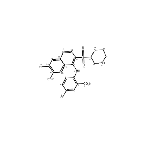 O=C(O)c1cc(Cl)ccc1Nc1c(S(=O)(=O)C2CNCCS2)cnc2cc(Cl)c(Cl)cc12